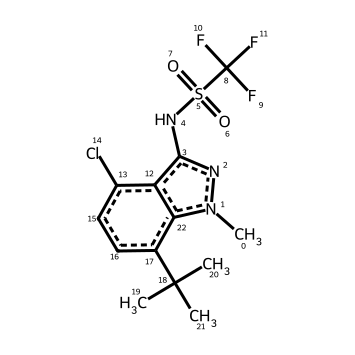 Cn1nc(NS(=O)(=O)C(F)(F)F)c2c(Cl)ccc(C(C)(C)C)c21